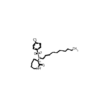 CCCCCCCCCCN([C@@H]1CCCCNC1=O)S(=O)(=O)c1ccc(Cl)cc1